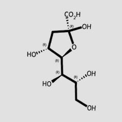 O=C(O)[C@@]1(O)C[C@@H](O)[C@H]([C@H](O)[C@H](O)CO)O1